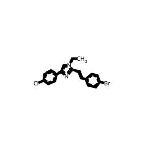 CCn1cc(-c2ccc(Cl)cc2)nc1C=Cc1ccc(Br)cc1